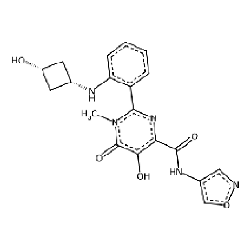 Cn1c(-c2ccccc2N[C@H]2C[C@@H](O)C2)nc(C(=O)Nc2cnoc2)c(O)c1=O